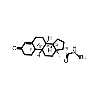 CCC(C)NC(=O)[C@H]1CC[C@H]2[C@@H]3CCC4=CC(=O)CC[C@]4(C)[C@H]3CC[C@]12C